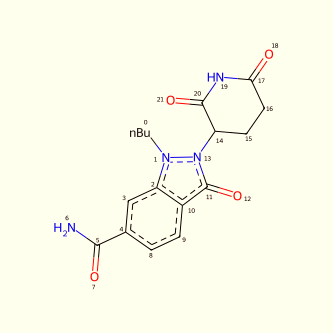 CCCCn1c2cc(C(N)=O)ccc2c(=O)n1C1CCC(=O)NC1=O